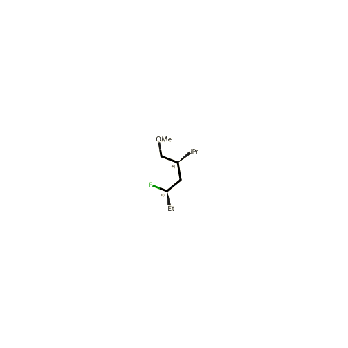 CC[C@@H](F)C[C@@H](COC)C(C)C